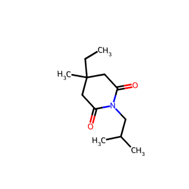 CCC1(C)CC(=O)N(CC(C)C)C(=O)C1